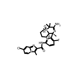 Cc1c(C(=O)Nc2ccc(F)c([C@@]3(C)N=C(N)C(C)(C)[SH]4(=O)NCCC[C@H]34)n2)nc2cc(Cl)ccn12